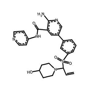 C=CC(N1CCC(O)CC1)S(=O)(=O)c1cccc(-c2cnc(N)c(C(=O)Nc3ccncc3)c2)c1